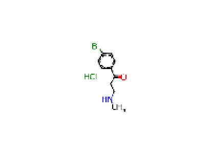 CNCCC(=O)c1ccc(Br)cc1.Cl